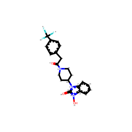 O=C(Cc1ccc(C(F)(F)F)cc1)N1CCC(n2c(=O)n(O)c3ccccc32)CC1